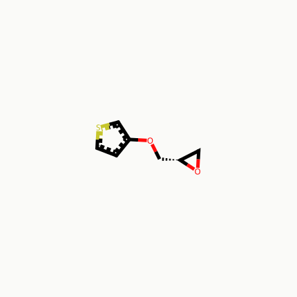 c1cc(OC[C@@H]2CO2)cs1